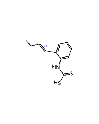 CC/C=C/c1ccccc1NC(=S)S